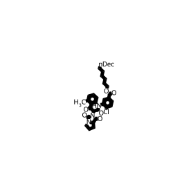 CCCCCCCCCCCCCCCCOC(=O)c1ccc(Cl)c(NC(=O)C(C(=O)c2ccccc2C)N2C(=O)C3CCCN3C2=O)c1